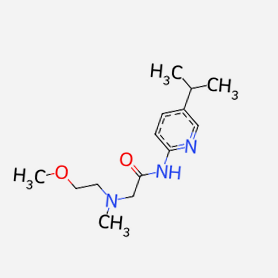 COCCN(C)CC(=O)Nc1ccc(C(C)C)cn1